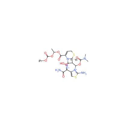 CC(C)OC(=O)OC(C)OC(=O)C1=CCS[C@H]2C(C(OC(=O)N(C)C)[n+]3c(/C(=N/O)C(N)=O)csc3N)C(=O)N12